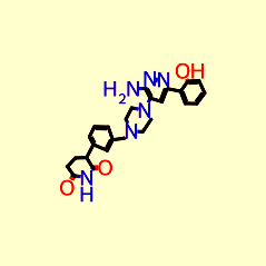 Nc1nnc(-c2ccccc2O)cc1N1CCN(Cc2cccc(C3CCC(=O)NC3=O)c2)CC1